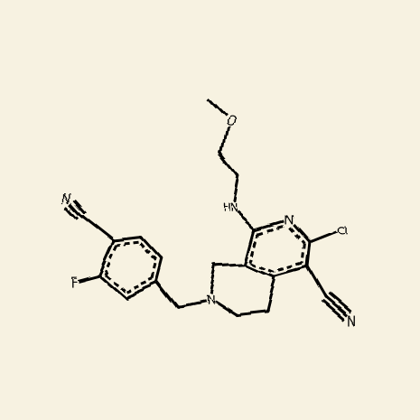 COCCNc1nc(Cl)c(C#N)c2c1CN(Cc1ccc(C#N)c(F)c1)CC2